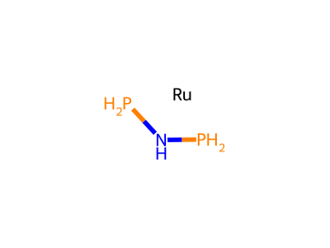 PNP.[Ru]